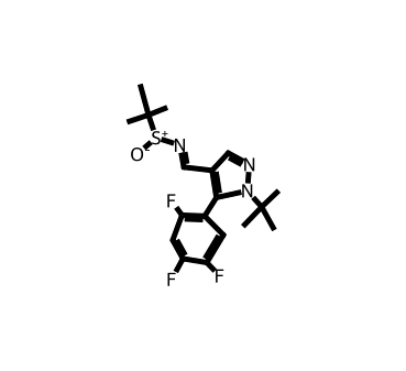 CC(C)(C)n1ncc(/C=N/[S+]([O-])C(C)(C)C)c1-c1cc(F)c(F)cc1F